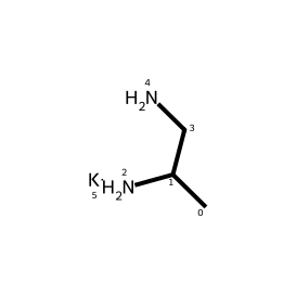 CC(N)CN.[K]